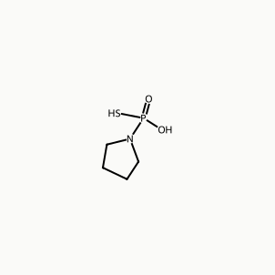 O=P(O)(S)N1CCCC1